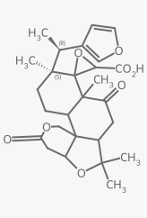 C[C@@H](c1ccoc1)[C@]1(C)CCC2C34COC(=O)CC3OC(C)(C)C4CC(=O)C2(C)C12OC2C(=O)O